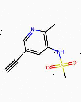 C#Cc1cnc(C)c(NS(C)(=O)=O)c1